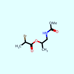 COC(=O)NCC(C)OC(=O)C(C)Br